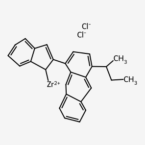 CCC(C)c1ccc(C2=Cc3ccccc3[CH]2[Zr+2])c2cc3ccccc3cc12.[Cl-].[Cl-]